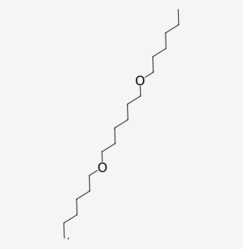 [CH2]CCCCCOCCCCCCOCCCCCC